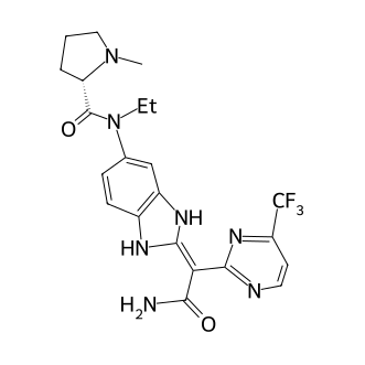 CCN(C(=O)[C@@H]1CCCN1C)c1ccc2c(c1)N/C(=C(/C(N)=O)c1nccc(C(F)(F)F)n1)N2